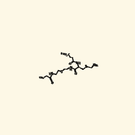 CC(C)(C)CSC[C@H](NC(=O)CCC(=O)O)C(=O)NCCOCCNC(=O)CC(C)(C)C